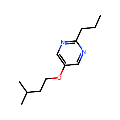 CCCc1ncc(OCCC(C)C)cn1